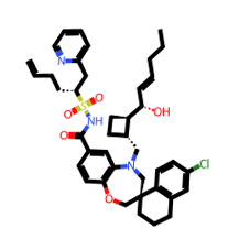 C=CCC[C@H](Cc1ccccn1)S(=O)(=O)NC(=O)c1ccc2c(c1)N(C[C@@H]1CC[C@H]1[C@@H](O)/C=C/CCC)C[C@@]1(CCCc3cc(Cl)ccc31)CO2